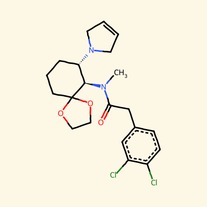 CN(C(=O)Cc1ccc(Cl)c(Cl)c1)[C@@H]1[C@@H](N2CC=CC2)CCCC12OCCO2